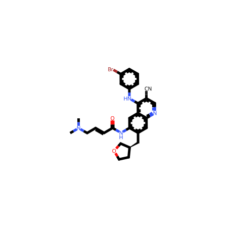 CN(C)C/C=C/C(=O)Nc1cc2c(Nc3cccc(Br)c3)c(C#N)cnc2cc1C[C@H]1CCOC1